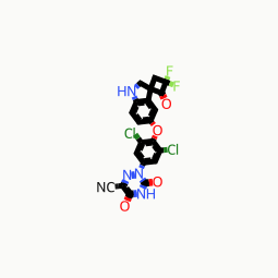 N#Cc1nn(-c2cc(Cl)c(Oc3ccc4c(c3)C3(CN4)CC(F)(F)C3=O)c(Cl)c2)c(=O)[nH]c1=O